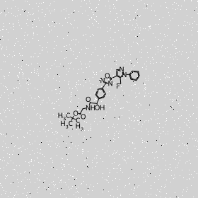 CC(C)(C)OC(=O)CNC(=O)C(O)c1ccc(-c2noc(-c3cnn(-c4ccccc4)c3CF)n2)cc1